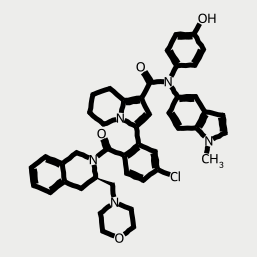 Cn1ccc2cc(N(C(=O)c3cc(-c4cc(Cl)ccc4C(=O)N4Cc5ccccc5C[C@@H]4CN4CCOCC4)n4c3CCCC4)c3ccc(O)cc3)ccc21